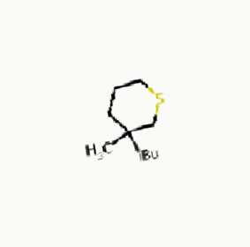 CCC(C)C1(C)CCCSC1